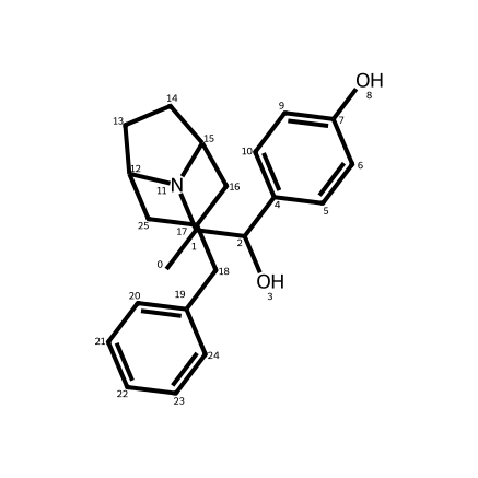 CC(C(O)c1ccc(O)cc1)N1C2CCC1CC(Cc1ccccc1)C2